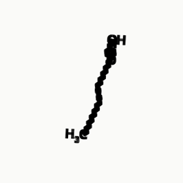 CCCCCCCCCCCCC#CC#CCCCCCCCCCOc1ccc(/C=N/O)cc1